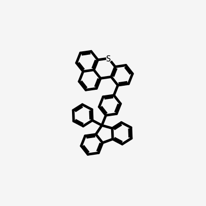 c1ccc(C2(c3ccc(-c4cccc5c4-c4cccc6cccc(c46)S5)cc3)c3ccccc3-c3ccccc32)cc1